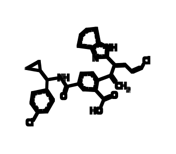 C=C(/C(=C\C=C/Cl)c1nc2ccccc2[nH]1)c1ccc(C(=O)NC(c2ccc(Cl)cc2)C2CC2)cc1C(=O)O